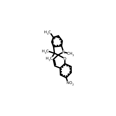 Cc1ccc2c(c1)C(C)(C)C1(C=Cc3cc([N+](=O)[O-])ccc3O1)N2C